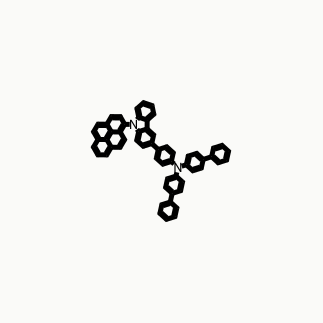 c1ccc(-c2ccc(N(c3ccc(-c4ccccc4)cc3)c3ccc(-c4ccc5c(c4)c4ccccc4n5-c4ccc5ccc6cccc7ccc4c5c67)cc3)cc2)cc1